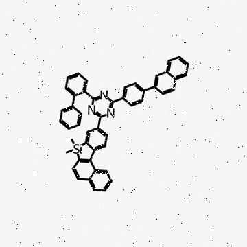 C[Si]1(C)c2cc(-c3nc(-c4ccc(-c5ccc6ccccc6c5)cc4)nc(-c4ccccc4-c4ccccc4)n3)ccc2-c2c1ccc1ccccc21